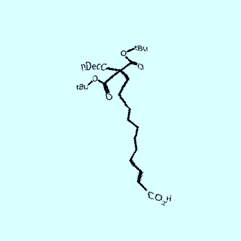 CCCCCCCCCCCC(CCCCCCCCCCC(=O)O)(C(=O)OC(C)(C)C)C(=O)OC(C)(C)C